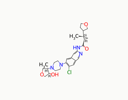 C[C@@]1(C2CCOC2)C[C@H]1C(=O)Nc1cc2cc(N3CCN([C@]4(C)COC[C@@H]4O)CC3)c(Cl)cc2cn1